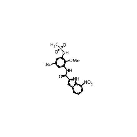 COc1c(NC(=O)c2cc3cccc([N+](=O)[O-])c3[nH]2)cc(C(C)(C)C)cc1NS(C)(=O)=O